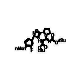 CCCCCCCCCc1ccc(-c2noc([C@@H]3CCCN3/C(=N\C(=O)OC(C)(C)C)NC(=O)OC(C)(C)C)n2)cc1F